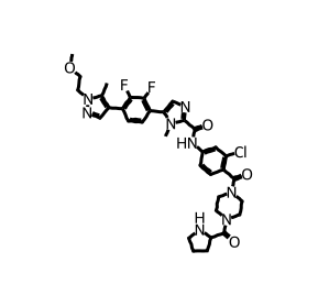 COCCn1ncc(-c2ccc(-c3cnc(C(=O)Nc4ccc(C(=O)N5CCN(C(=O)C6CCCN6)CC5)c(Cl)c4)n3C)c(F)c2F)c1C